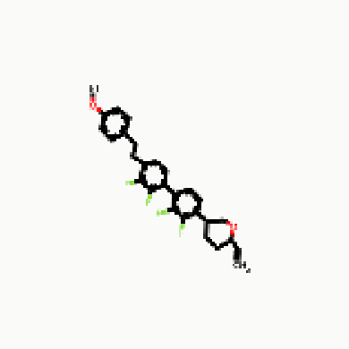 C=CC1CCC(c2ccc(-c3ccc(CCc4ccc(OCC)cc4)c(F)c3F)c(F)c2F)CO1